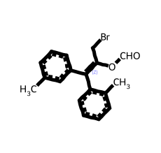 Cc1cccc(/C(=C(\CBr)OC=O)c2ccccc2C)c1